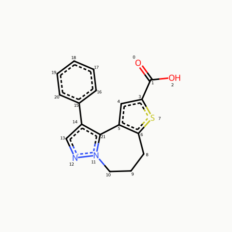 O=C(O)c1cc2c(s1)CCCn1ncc(-c3ccccc3)c1-2